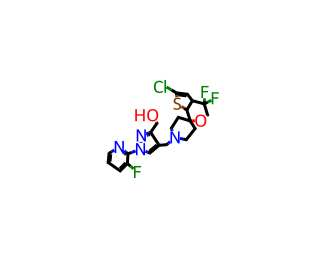 OCc1nn(-c2ncccc2F)cc1CN1CCC2(CC1)OCC(F)(F)C1C=C(Cl)SC12